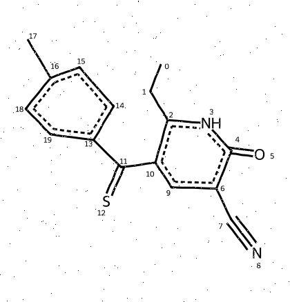 CCc1[nH]c(=O)c(C#N)cc1C(=S)c1ccc(C)cc1